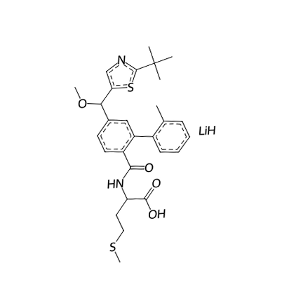 COC(c1ccc(C(=O)NC(CCSC)C(=O)O)c(-c2ccccc2C)c1)c1cnc(C(C)(C)C)s1.[LiH]